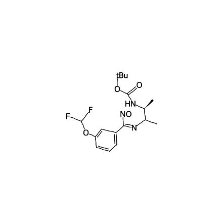 CC(/N=C(\N=O)c1cccc(OC(F)F)c1)[C@H](C)NC(=O)OC(C)(C)C